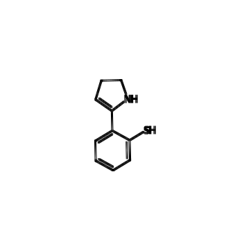 Sc1ccccc1C1=CCCN1